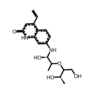 C=Cc1cc(=O)[nH]c2cc(N[C@H](O)C(C)OC(CO)[C@@H](C)O)ccc12